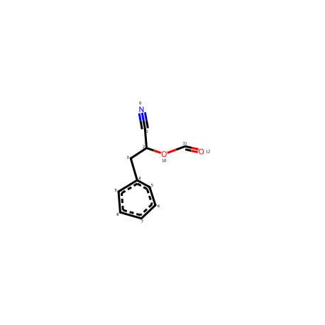 N#CC(Cc1ccccc1)OC=O